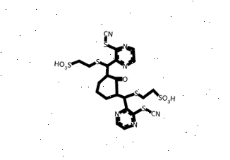 N#CSc1nccnc1C(SCCS(=O)(=O)O)C1CCCC(C(SCCS(=O)(=O)O)c2nccnc2SC#N)C1=O